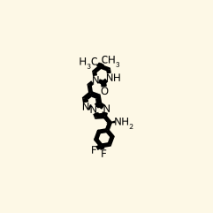 CC1(C)CNC(=O)N(Cc2cnn3cc([C@@H](N)C4CCC(F)(F)CC4)nc3c2)C1